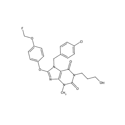 Cn1c(=O)n(CCCO)c(=O)c2c1nc(Oc1ccc(OCF)cc1)n2Cc1ccc(Cl)cc1